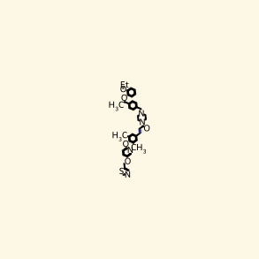 CCOc1ccccc1OC(C)c1ccc(CN2CCN(C(=O)/C=C/c3cc(C)c(Oc4ccc(OCc5cncs5)cn4)c(C)c3)CC2)cc1